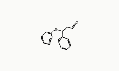 O=CCC(Sc1ccccc1)c1ccccc1